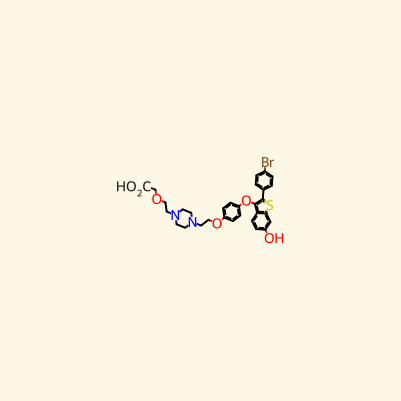 O=C(O)COCCN1CCN(CCOc2ccc(Oc3c(-c4ccc(Br)cc4)sc4cc(O)ccc34)cc2)CC1